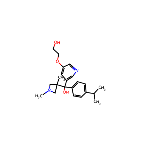 CC(C)c1ccc(C(O)(c2cncc(OCCO)c2)C2(C)CN(C)C2)cc1